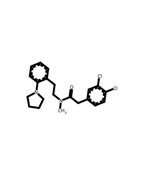 CN(CCc1ccccc1N1CCCC1)C(=O)Cc1ccc(Cl)c(Cl)c1